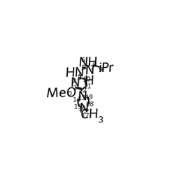 COc1nc(NC(=N)NCC(C)C)ccc1N1CCN(C)CC1